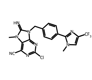 Cn1cc(C(F)(F)F)nc1-c1ccc(Cn2c(=N)n(C)c3c(C#N)nc(Cl)nc32)cc1